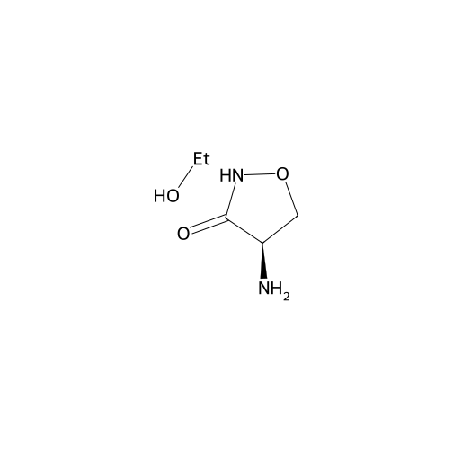 CCO.N[C@@H]1CONC1=O